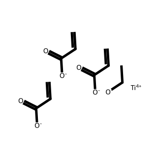 C=CC(=O)[O-].C=CC(=O)[O-].C=CC(=O)[O-].CC[O-].[Ti+4]